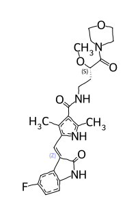 CO[C@@H](CCNC(=O)c1c(C)[nH]c(/C=C2\C(=O)Nc3ccc(F)cc32)c1C)C(=O)N1CCOCC1